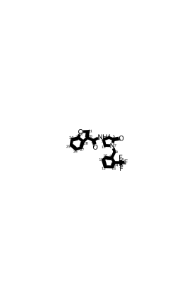 O=C(NC1CC(=O)N(Cc2ccccc2C(F)(F)F)C1)c1coc2ccccc12